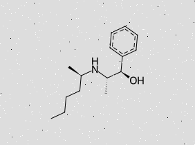 CCCC[C@@H](C)N[C@@H](C)[C@H](O)c1ccccc1